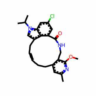 COc1nc(C)cc2c1CNC(=O)c1cc(Cl)cc3c1c(cn3C(C)C)C/C=C\CC2